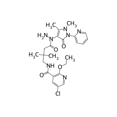 CCOc1ncc(Cl)cc1C(=O)NCC(C)(C)CC(=O)N(N)c1c(C)n(C)n(-c2ccccn2)c1=O